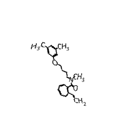 C=CC1=C(C(=O)N(C)CCCCOc2cc(C)cc(C)c2)C=CC=CC1